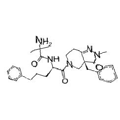 CN1N=C2CCN(C(=O)[C@@H](CCCc3ccccc3)NC(=O)C(C)(C)N)C[C@@]2(Cc2ccccc2)C1=O